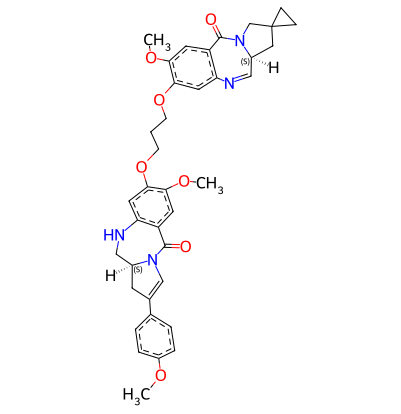 COc1ccc(C2=CN3C(=O)c4cc(OC)c(OCCCOc5cc6c(cc5OC)C(=O)N5CC7(CC7)C[C@H]5C=N6)cc4NC[C@@H]3C2)cc1